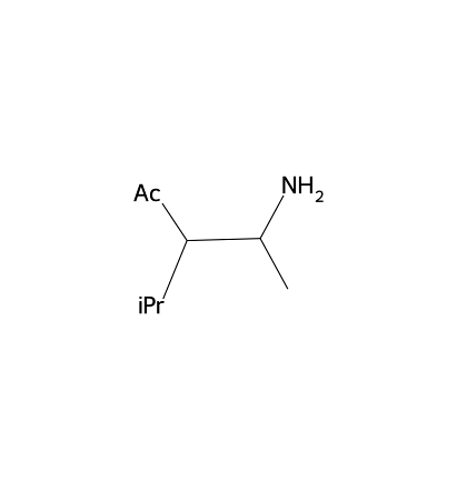 CC(=O)C(C(C)C)C(C)N